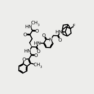 CNC(=O)C(=O)CC[C@H](NC(=O)c1oc2ccccc2c1C)C(=O)Nc1cccn(CC(=O)NC2C3CC4CC2C(F)(C4)C3)c1=O